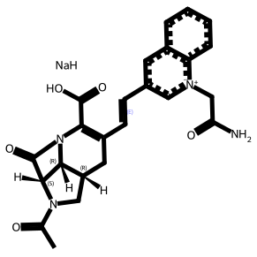 CC(=O)N1C[C@H]2CC(/C=C/c3cc4ccccc4[n+](CC(N)=O)c3)=C(C(=O)O)N3C(=O)[C@@H]1[C@@H]23.[NaH]